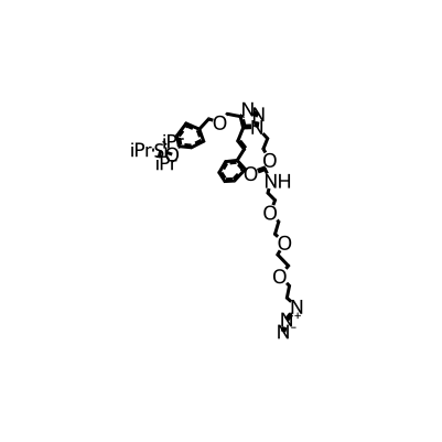 CC(C)[Si](Oc1ccc(COCc2nnn(CCOC(=O)NCCOCCOCCOCCN=[N+]=[N-])c2C=Cc2ccccc2)cc1)(C(C)C)C(C)C